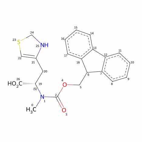 CN(C(=O)OCC1c2ccccc2-c2ccccc21)[C@@H](CC1=CSCN1)C(=O)O